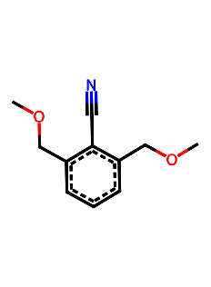 COCc1cccc(COC)c1C#N